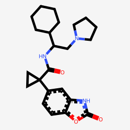 O=C(NC(CN1CCCC1)C1CCCCC1)C1(c2ccc3oc(=O)[nH]c3c2)CC1